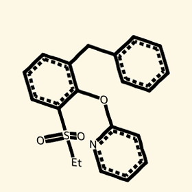 CCS(=O)(=O)c1cccc(Cc2ccccc2)c1Oc1ccccn1